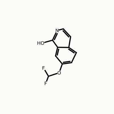 Oc1nccc2ccc(OC(F)F)cc12